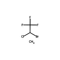 C.FC(F)(F)C(Cl)Br